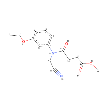 CCOc1cccc(N(CC#N)C(=O)CCC(=O)OC)c1